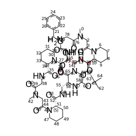 CN(CC(=O)N1CCCC[C@H]1C(=O)NC[C@@H](NC(=O)OCc1ccccc1)C(=O)N1CCCC[C@H]1C(=O)NCC(=O)N(C)CC(=O)N1CCCC[C@H]1C(=O)NC[C@@H](NC(=O)OC(C)(C)C)C(=O)N1CCCC[C@H]1C(=O)O)C(=O)CN